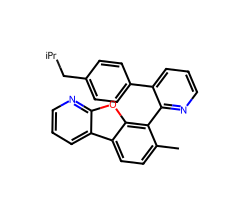 Cc1ccc2c(oc3ncccc32)c1-c1ncccc1-c1ccc(CC(C)C)cc1